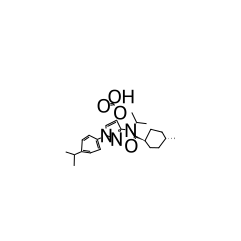 CC(C)c1ccc(-n2cc(OC(=O)O)c(N(C(=O)[C@H]3CC[C@H](C)CC3)C(C)C)n2)cc1